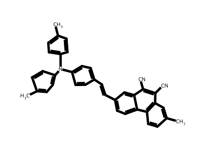 Cc1ccc(N(c2ccc(C)cc2)c2ccc(C=Cc3ccc4c(c3)c(C#N)c(C#N)c3cc(C)ccc34)cc2)cc1